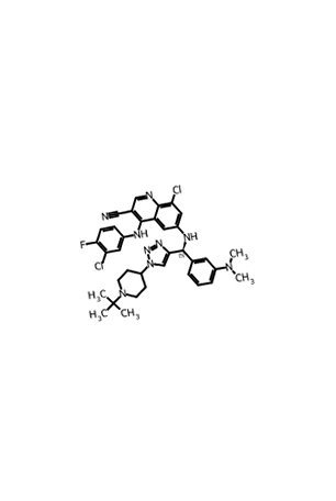 CN(C)c1cccc([C@H](Nc2cc(Cl)c3ncc(C#N)c(Nc4ccc(F)c(Cl)c4)c3c2)c2cn(C3CCN(C(C)(C)C)CC3)nn2)c1